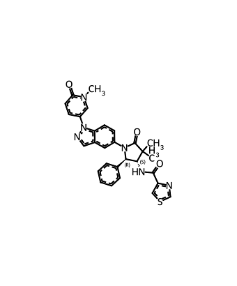 Cn1cc(-n2ncc3cc(N4C(=O)C(C)(C)[C@H](NC(=O)c5cscn5)[C@H]4c4ccccc4)ccc32)ccc1=O